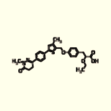 CCOC(Cc1ccc(OCc2sc(-c3ccc(C4=NN(C)C(=O)CC4)cc3)cc2C)cc1)C(=O)O